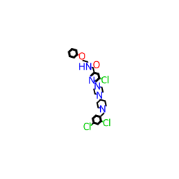 O=C(NCCOc1ccccc1)c1cnc(N2CCN(C3CCN(Cc4ccc(Cl)cc4Cl)CC3)CC2)c(Cl)c1